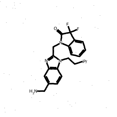 CC(C)CCn1c(CN2C(=O)C(F)(F)c3ccccc32)nc2cc(CN)ccc21